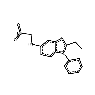 CCc1nc2cc(NC[SH](=O)=O)ccc2n1-c1c[c]ccc1